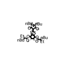 CCCCC(CC)C(=O)Oc1ccc(OC(=O)C(CC)CCCC)c2c1SC(=C1C(=O)N(CCCC)N(CCCC)C1=O)S2